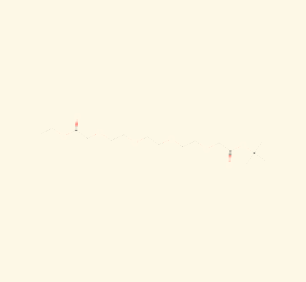 CCOC(=O)COCCOCCOCCOCC(=O)OC(C)(C)C